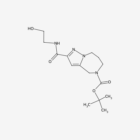 CC(C)(C)OC(=O)N1CCCn2nc(C(=O)NCCO)cc2C1